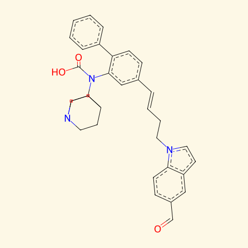 O=Cc1ccc2c(ccn2CCC=Cc2ccc(-c3ccccc3)c(N(C(=O)O)C3CN4CCC3CC4)c2)c1